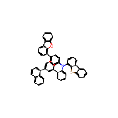 c1cc(-c2ccccc2N(c2ccc(-c3cccc4c3oc3ccccc34)cc2)c2cccc3c2sc2ccccc23)cc(-c2cccc3ccccc23)c1